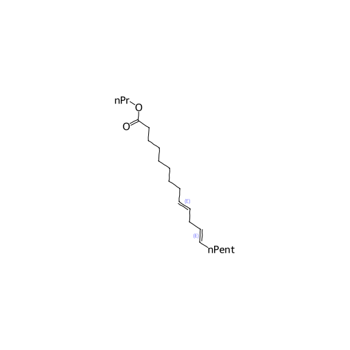 CCCCC/C=C/C/C=C/CCCCCCCC(=O)OCCC